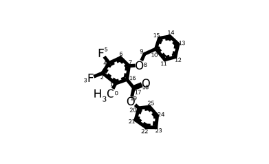 Cc1c(F)c(F)cc(OCc2ccccc2)c1C(=O)Oc1ccccc1